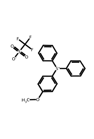 COc1ccc([S+](c2ccccc2)c2ccccc2)cc1.O=S(=O)([O-])C(F)(F)F